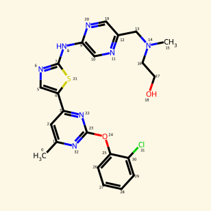 Cc1cc(-c2cnc(Nc3cnc(CN(C)CCO)cn3)s2)nc(Oc2ccccc2Cl)n1